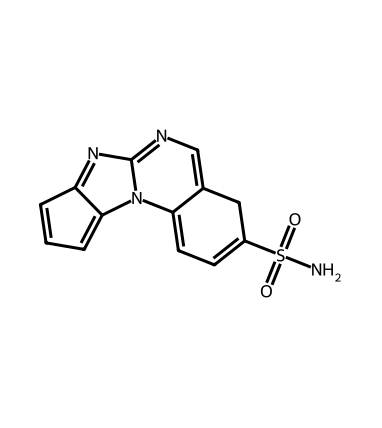 NS(=O)(=O)C1=CC=c2c(cnc3nc4c(n23)=CC=C4)C1